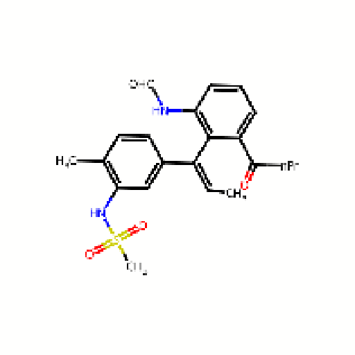 C/C=C(/c1ccc(C)c(NS(C)(=O)=O)c1)c1c(NC=O)cccc1C(=O)CCC